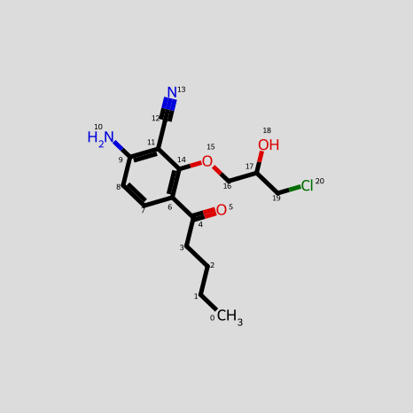 CCCCC(=O)c1ccc(N)c(C#N)c1OCC(O)CCl